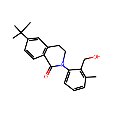 Cc1cccc(N2CCc3cc(C(C)(C)C)ccc3C2=O)c1CO